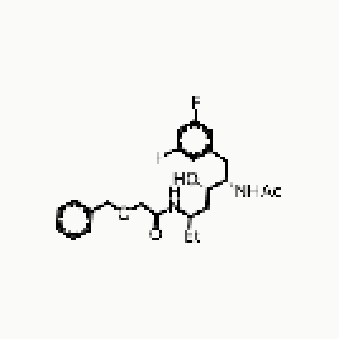 CCC(C[C@H](O)[C@H](Cc1cc(F)cc(F)c1)NC(C)=O)NC(=O)COCc1ccccc1